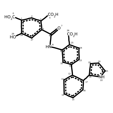 O=C(O)c1cc(C(=O)O)c(C(=O)Nc2cc(-c3ccccc3-c3ccc[nH]3)ccc2C(=O)O)cc1O